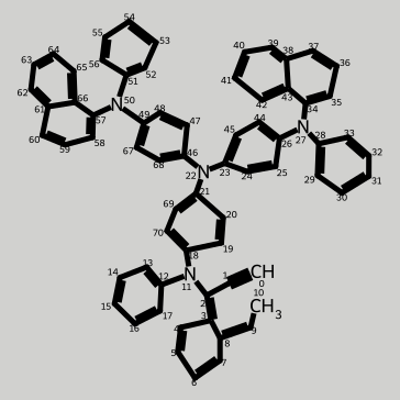 C#C/C(=c1/cccc/c1=C/C)N(c1ccccc1)c1ccc(N(c2ccc(N(c3ccccc3)c3cccc4ccccc34)cc2)c2ccc(N(c3ccccc3)c3cccc4ccccc34)cc2)cc1